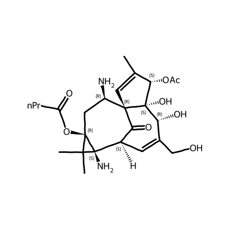 CCCC(=O)O[C@@]12C[C@@H](N)[C@]34C=C(C)[C@H](OC(C)=O)[C@@]3(O)[C@H](O)C(CO)=C[C@H](C4=O)[C@]1(N)C2(C)C